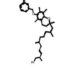 CC(=O)CC(C)C=CCC(C)CCCC(C)CC1(C)CCc2c(C)c(OCc3ccccc3)c(C)c(C)c2O1